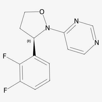 Fc1cccc([C@H]2CCON2c2ccncn2)c1F